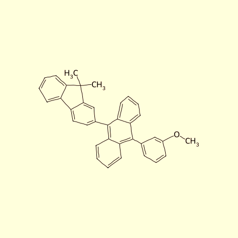 COc1cccc(-c2c3ccccc3c(-c3ccc4c(c3)C(C)(C)c3ccccc3-4)c3ccccc23)c1